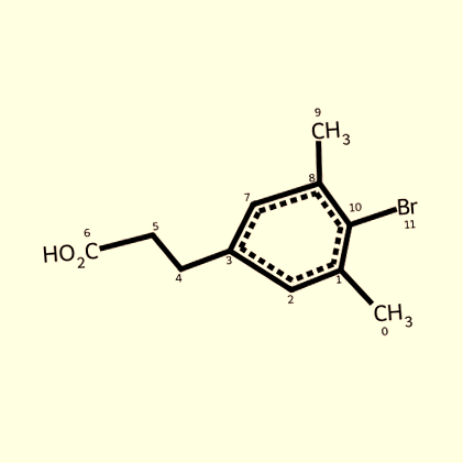 Cc1cc(CCC(=O)O)cc(C)c1Br